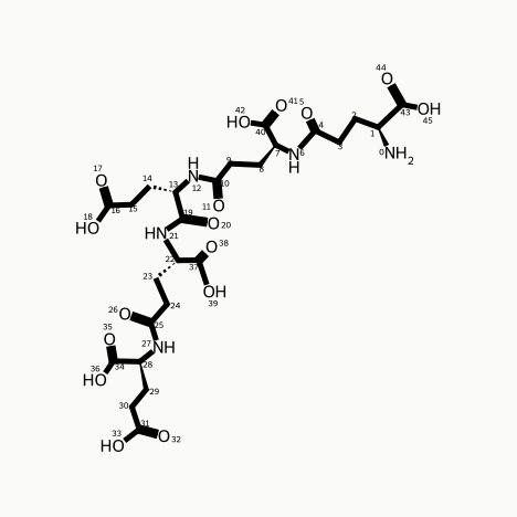 N[C@@H](CCC(=O)N[C@@H](CCC(=O)N[C@@H](CCC(=O)O)C(=O)N[C@@H](CCC(=O)N[C@@H](CCC(=O)O)C(=O)O)C(=O)O)C(=O)O)C(=O)O